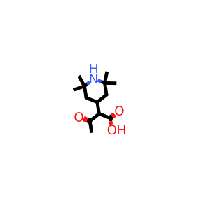 CC(=O)C(C(=O)O)C1CC(C)(C)NC(C)(C)C1